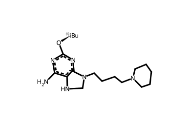 CC[C@H](C)Oc1nc(N)c2c(n1)N(CCCCN1CCCCC1)CN2